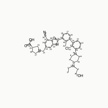 CCN(CCO)C1CCN(c2cccc(-c3cccc(-c4nc5cc(CN6CC[C@@H](C(=O)O)C6)cc(C#N)c5o4)c3C)c2Cl)CC1